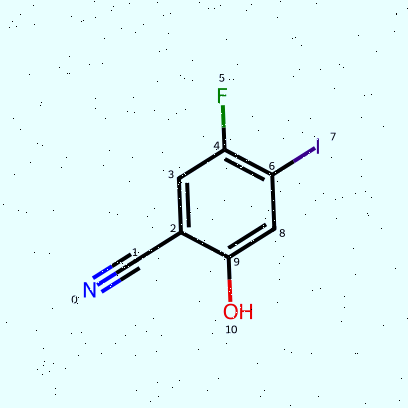 N#Cc1cc(F)c(I)cc1O